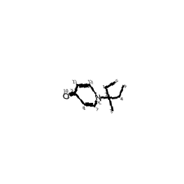 CCC(C)(CC)n1ccc(=O)cc1